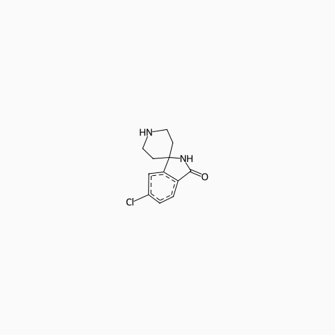 O=C1NC2(CCNCC2)c2cc(Cl)ccc21